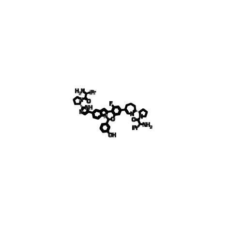 CC(C)[C@H](N)C(=O)N1CCC[C@H]1C1=NC=C(c2cc(F)c3c(c2)OC(c2cccc(O)c2)n2c-3cc3cc(-c4cnc([C@@H]5CCCN5C(=O)[C@@H](N)C(C)C)[nH]4)ccc32)CCC1